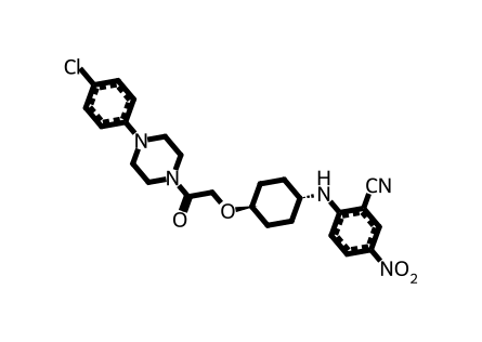 N#Cc1cc([N+](=O)[O-])ccc1N[C@H]1CC[C@H](OCC(=O)N2CCN(c3ccc(Cl)cc3)CC2)CC1